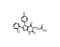 O=C(O)CCn1c(=O)[nH]c2nc(-c3ccccc3Cl)n(-c3ccc(Cl)cc3)c2c1=O